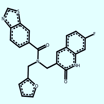 O=C(c1ccc2ncsc2c1)N(Cc1ccco1)Cc1cc2ccc(F)cc2[nH]c1=O